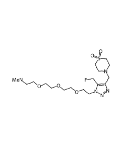 CNCCOCCOCCOCCn1nnc(CN2CCS(=O)(=O)CC2)c1CF